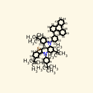 CC(C)(C)c1ccc(N2c3cc(C(C)(C)C)cc4c3B(c3cc(C(C)(C)C)ccc3N4c3cccc(-c4cccc5c6ccccc6c6ccccc6c45)c3)c3sc4ccc(C(C)(C)C)cc4c32)cc1